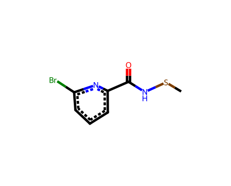 CSNC(=O)c1cccc(Br)n1